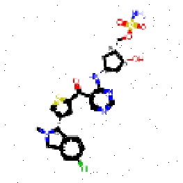 CN1Cc2cc(Cl)ccc2[C@H]1c1csc(C(=O)c2cncnc2N[C@@H]2C[C@H](COS(N)(=O)=O)[C@@H](O)C2)c1